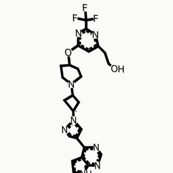 OCCc1cc(OC2CCN(C3C[C](n4cc(-c5ncnc6[nH]ccc56)cn4)C3)CC2)nc(C(F)(F)F)n1